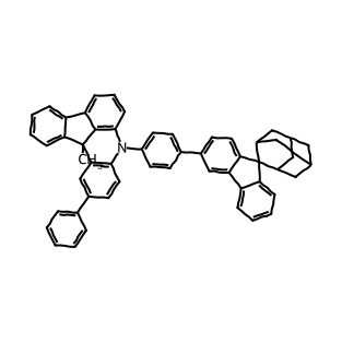 CC12c3ccccc3-c3cccc(c31)N(c1ccc(-c3ccc4c(c3)-c3ccccc3C43C4CC5CC(C4)CC3C5)cc1)c1ccc(-c3ccccc3)cc12